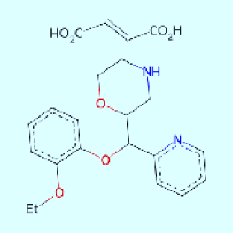 CCOc1ccccc1OC(c1ccccn1)C1CNCCO1.O=C(O)C=CC(=O)O